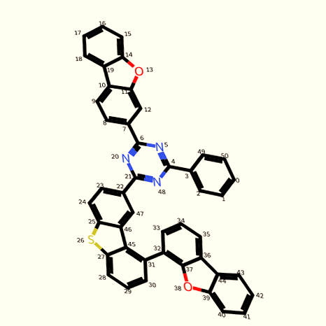 c1ccc(-c2nc(-c3ccc4c(c3)oc3ccccc34)nc(-c3ccc4sc5cccc(-c6cccc7c6oc6ccccc67)c5c4c3)n2)cc1